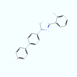 Cc1ccccc1C1=NC(c2ccc(-c3ccc(O)cc3)cc2)CO1